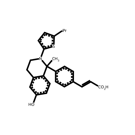 CC(C)c1ccc(N2CCc3cc(O)ccc3C2(C)c2ccc(/C=C/C(=O)O)cc2)s1